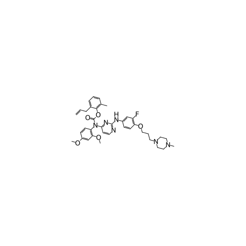 C=CCc1cccc(C)c1OC(=O)N(c1ccnc(Nc2ccc(OCCCN3CCN(C)CC3)c(F)c2)n1)c1ccc(OC)cc1OC